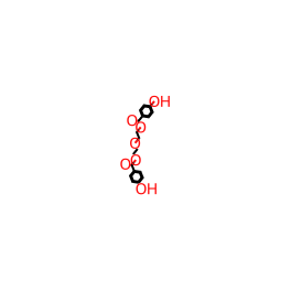 O=C(OCCOCCOC(=O)c1ccc(O)cc1)c1ccc(O)cc1